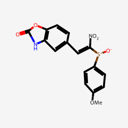 COc1ccc([S+]([O-])/C(=C/c2ccc3oc(=O)[nH]c3c2)[N+](=O)[O-])cc1